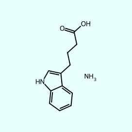 N.O=C(O)CCCc1c[nH]c2ccccc12